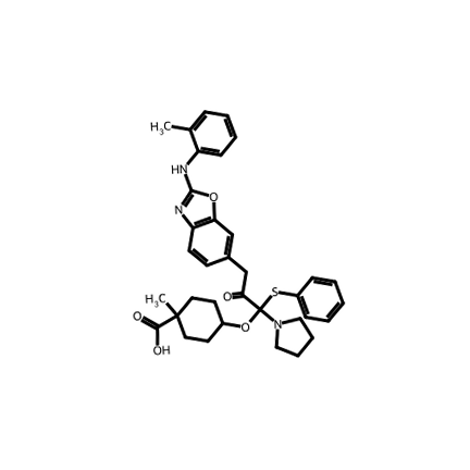 Cc1ccccc1Nc1nc2ccc(CC(=O)C(OC3CCC(C)(C(=O)O)CC3)(Sc3ccccc3)N3CCCC3)cc2o1